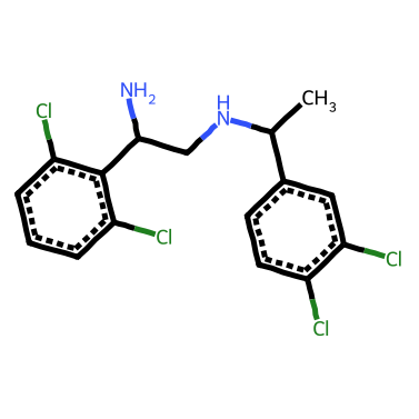 CC(NCC(N)c1c(Cl)cccc1Cl)c1ccc(Cl)c(Cl)c1